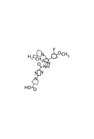 COc1ccc(-c2nc(NC(=O)c3cnc(N4CCC(C(=O)O)CC4)cn3)sc2CN2CCCC(C)(C)C2)cc1F